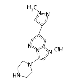 Cl.Cn1cc(-c2cnn3c(N4CCNCC4)cnc3c2)cn1